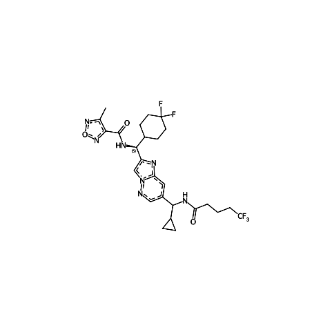 Cc1nonc1C(=O)N[C@H](c1cn2ncc(C(NC(=O)CCCC(F)(F)F)C3CC3)cc2n1)C1CCC(F)(F)CC1